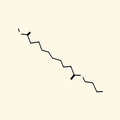 CCCCNC(=O)CCCCCCCCC(=O)NC